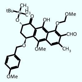 COCOc1c(C=O)c(C)cc2c(OC)c3c(c(O)c12)C(=O)[C@@H](O[Si](C)(C)C(C)(C)C)C[C@@H]3OCc1ccc(OC)cc1